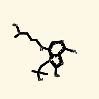 CCCCc1nc2c(N)ncc(NCCCN(C)C(C)(C)C)c2n1CC(C)(C)O